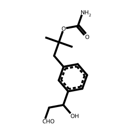 CC(C)(Cc1cccc(C(O)CC=O)c1)OC(N)=O